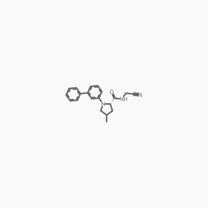 CC1C[C@@H](C(=O)NCC#N)N(c2cccc(-c3ccccc3)c2)C1